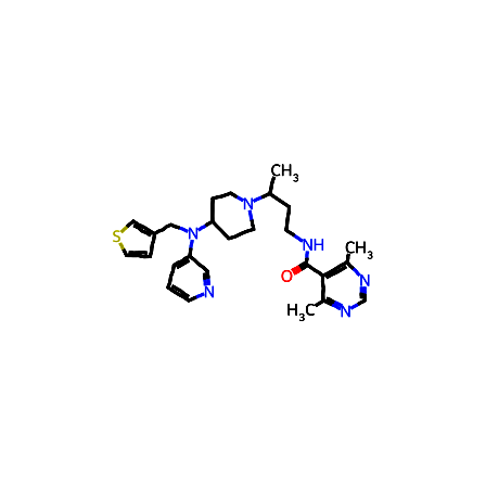 Cc1ncnc(C)c1C(=O)NCCC(C)N1CCC(N(Cc2ccsc2)c2cccnc2)CC1